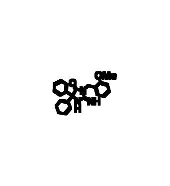 COc1ccccc1CN1C(=N)NC(C2=CCCC=C2)(c2ccccc2)C1=O